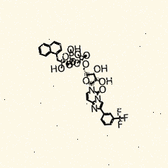 O=c1n([C@@H]2O[C@H](COP(=O)(O)OP(=O)(O)OP(=O)(O)Cc3cccc4ccccc34)C(O)[C@@H]2O)ccc2nc(-c3cccc(C(F)(F)F)c3)cn12